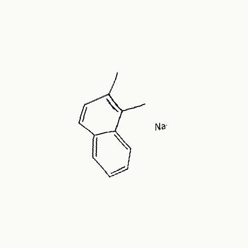 Cc1ccc2ccccc2c1C.[Na]